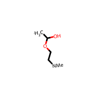 [CH2]C(O)OCCNC